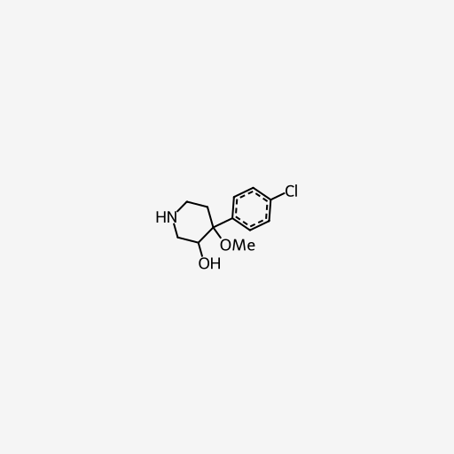 COC1(c2ccc(Cl)cc2)CCNCC1O